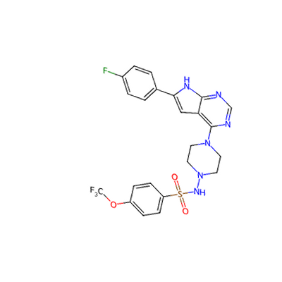 O=S(=O)(NN1CCN(c2ncnc3[nH]c(-c4ccc(F)cc4)cc23)CC1)c1ccc(OC(F)(F)F)cc1